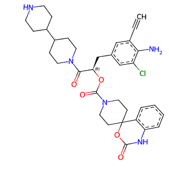 C#Cc1cc(C[C@@H](OC(=O)N2CCC3(CC2)OC(=O)Nc2ccccc23)C(=O)N2CCC(C3CCNCC3)CC2)cc(Cl)c1N